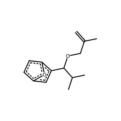 C=C(C)COC(c1cc2ccc1o2)C(C)C